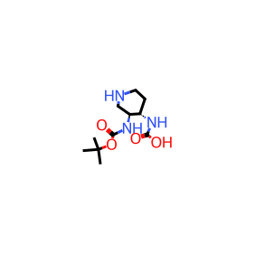 CC(C)(C)OC(=O)N[C@H]1CNCC[C@@H]1NC(=O)O